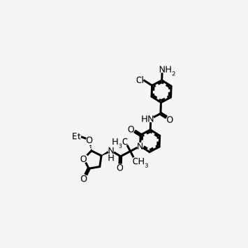 CCO[C@H]1OC(=O)C[C@@H]1NC(=O)C(C)(C)n1cccc(NC(=O)c2ccc(N)c(Cl)c2)c1=O